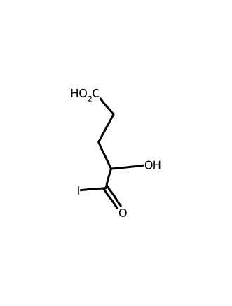 O=C(O)CCC(O)C(=O)I